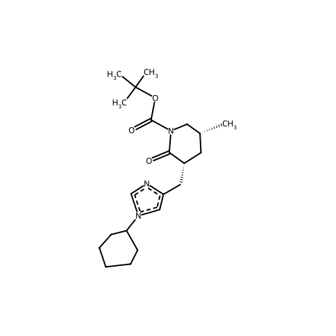 C[C@@H]1C[C@H](Cc2cn(C3CCCCC3)cn2)C(=O)N(C(=O)OC(C)(C)C)C1